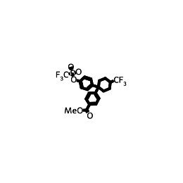 COC(=O)c1ccc(C2(c3ccc(OS(=O)(=O)C(F)(F)F)cc3)CCC(C(F)(F)F)CC2)cc1